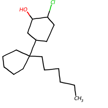 CCCCCCC1([C]2CCC(Cl)C(O)C2)CCCCC1